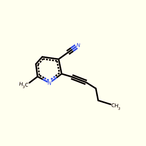 CCCC#Cc1nc(C)ccc1C#N